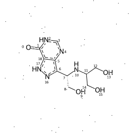 O=c1[nH]cnc2c([C@@H](CO)NC(CO)CO)n[nH]c12